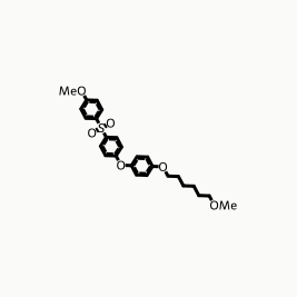 COCCCCCCOc1ccc(Oc2ccc(S(=O)(=O)c3ccc(OC)cc3)cc2)cc1